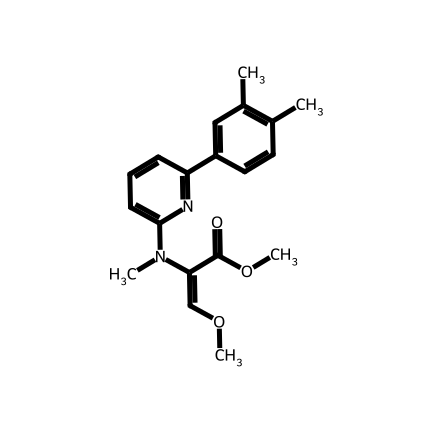 COC=C(C(=O)OC)N(C)c1cccc(-c2ccc(C)c(C)c2)n1